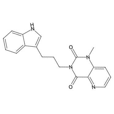 Cn1c(=O)n(CCCc2c[nH]c3ccccc23)c(=O)c2ncccc21